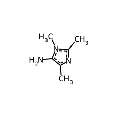 Cc1nc(C)n(C)c1N